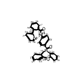 O=C(Nc1ccc(C(=O)N2Cc3ccccc3Oc3ccccc32)cc1)c1ccccc1-c1ccccn1